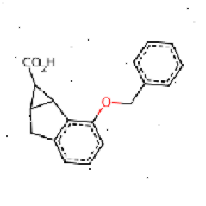 O=C(O)C1C2Cc3cccc(OCc4ccccc4)c3C21